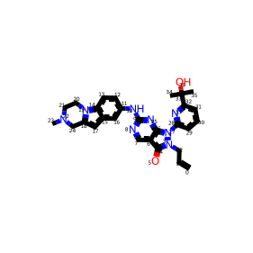 C=CCn1c(=O)c2cnc(Nc3ccc4c(c3)cc3n4CCN(C)C3)nc2n1-c1cccc(C(C)(C)O)n1